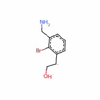 NCc1cccc([CH]CO)c1Br